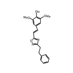 COc1cc(C=Cc2nc(CCc3ccccc3)no2)cc(OC)c1O